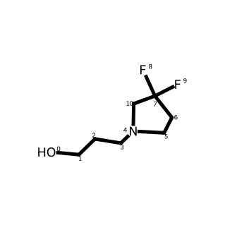 OCCCN1CCC(F)(F)C1